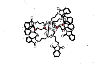 O=C1c2ccccc2C(=O)N1CCC[Si]12O[Si]3(CCCN4C(=O)c5ccccc5C4=O)O[Si]4(CCCN5C(=O)c6ccccc6C5=O)O[Si](CCCN5C(=O)c6ccccc6C5=O)(O1)O[Si]1(CCCN5C(=O)c6ccccc6C5=O)O[Si](CCCN5C(=O)c6ccccc6C5=O)(O2)O[Si](CCCN2C(=O)c5ccccc5C2=O)(O3)O[Si](CCCN2C(=O)c3ccccc3C2=O)(O4)O1